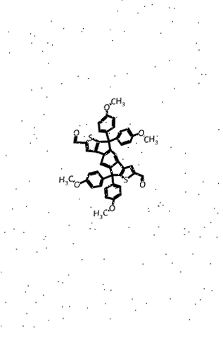 COc1ccc(C2(c3ccc(OC)cc3)c3cc4c(cc3-c3cc(C=O)sc32)C(c2ccc(OC)cc2)(c2ccc(OC)cc2)c2sc(C=O)cc2-4)cc1